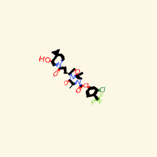 C[C@H]1C(=O)N2[C@@H](CCC(=O)N3CCC4(CC4)[C@H](O)C3)COC2(C)CN1C(=O)Oc1ccc(C(F)(F)F)c(Cl)c1